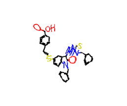 O=C(O)c1ccc(CCSc2ccc3c(c2)C(=NN(C=S)NCc2ccccc2)C(=O)N3Cc2ccccc2)cc1